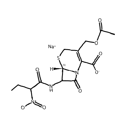 CCC(C(=O)NC1C(=O)N2C(C(=O)[O-])=C(COC(C)=O)CS[C@@H]12)[N+](=O)[O-].[Na+]